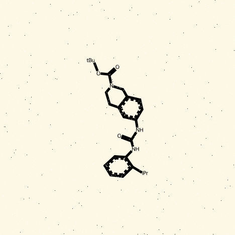 CC(C)c1ccccc1NC(=O)Nc1ccc2c(c1)CCN(C(=O)OC(C)(C)C)C2